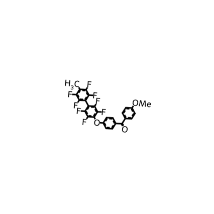 COc1ccc(C(=O)c2ccc(Oc3c(F)c(F)c(-c4c(F)c(F)c(C)c(F)c4F)c(F)c3F)cc2)cc1